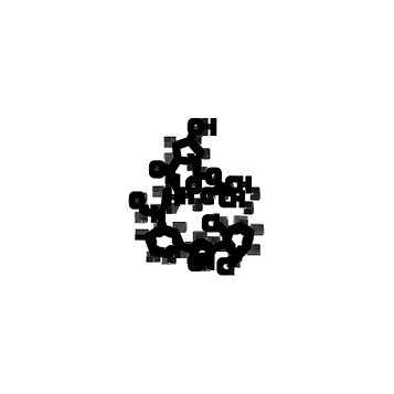 CC(C)(C)OC(=O)N1CC(O)CC1C(=O)NCCN(C=O)c1cccc(-c2cc(-c3c(Cl)cccc3Cl)no2)c1